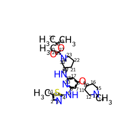 Cc1cnc(Nc2cc(OC3CCN(C)CC3)cc(N[C@H]3CCCN(C(=O)OC(C)(C)C)C3)n2)s1